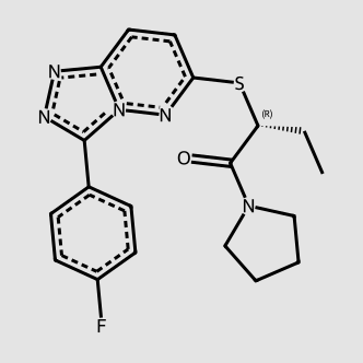 CC[C@@H](Sc1ccc2nnc(-c3ccc(F)cc3)n2n1)C(=O)N1CCCC1